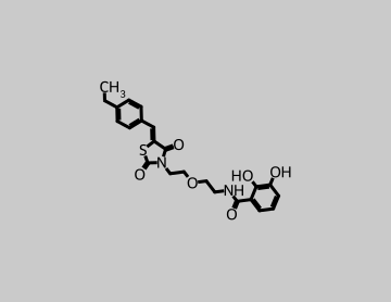 CCc1ccc(/C=C2\SC(=O)N(CCOCCNC(=O)c3cccc(O)c3O)C2=O)cc1